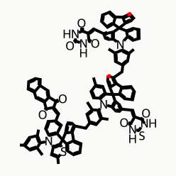 Cc1cc(C)c(N2c3ccc(C=C4C(=O)c5cc6ccccc6cc5C4=O)cc3C3(c4ccccc4-c4c(Cc5cc(C)c(N6c7ccc(C)cc7C7(c8ccccc8-c8c(Cc9cc(C)c(N%10c%11ccccc%11C%11(c%12ccccc%12-c%12ccccc%12%11)c%11cc(C=C%12C(=O)NC(=O)NC%12=O)ccc%11%10)c(C)c9)cccc87)c7cc(C=C8C(=O)NC(=S)NC8=O)ccc76)c(C)c5)cccc43)c3sc(C)cc32)c(C)c1